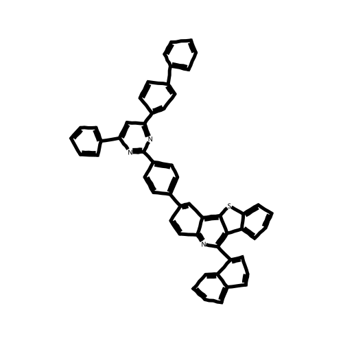 c1ccc(-c2ccc(-c3cc(-c4ccccc4)nc(-c4ccc(-c5ccc6nc(-c7cccc8ccccc78)c7c8ccccc8sc7c6c5)cc4)n3)cc2)cc1